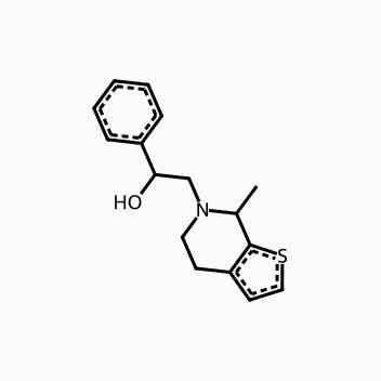 CC1c2sccc2CCN1CC(O)c1ccccc1